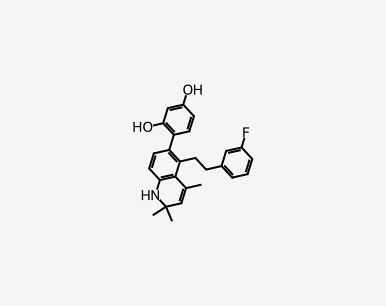 CC1=CC(C)(C)Nc2ccc(-c3ccc(O)cc3O)c(CCc3cccc(F)c3)c21